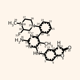 Cc1c(Nc2ccc3oc(=O)[nH]c3c2)nc(N)nc1-c1ccccc1N1CCN(C)C(F)C1